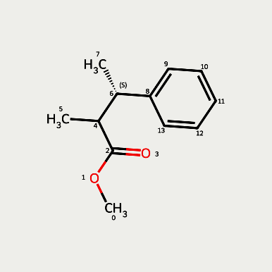 COC(=O)C(C)[C@H](C)c1ccccc1